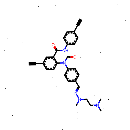 C#Cc1ccc(NC(=O)c2cc(C#C)ccc2N(C=O)c2ccc(C=NN(C)CCN(C)C)cc2)cc1